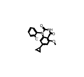 COc1cc(C2CC2)cc2c1c(=O)[nH]c(=O)n2-c1ccccc1Cl